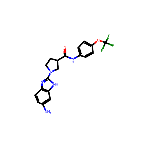 Nc1ccc2nc(N3CCC(C(=O)Nc4ccc(OC(F)(F)F)cc4)C3)[nH]c2c1